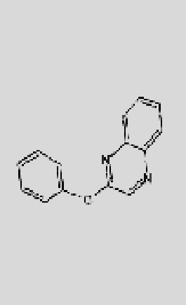 [c]1ccccc1Oc1cnc2ccccc2n1